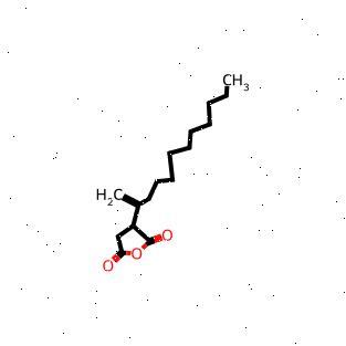 C=C(CCCCCCCCCC)C1CC(=O)OC1=O